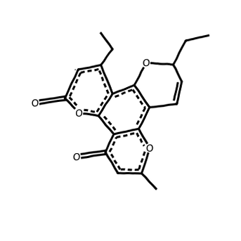 CCc1[c]c(=O)oc2c1c1c(c3oc(C)cc(=O)c32)C=CC(CC)O1